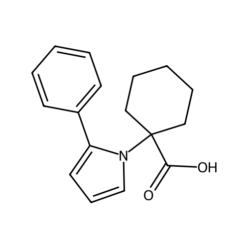 O=C(O)C1(n2cccc2-c2ccccc2)CCCCC1